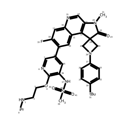 CC(C)NCCOc1ncc(-c2cc3c4c(cnc3cc2F)N(C)C(=O)C42CN(c3ccc(C(C)(C)C)cc3)C2)cc1NS(C)(=O)=O